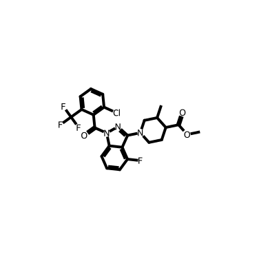 COC(=O)C1CCN(c2nn(C(=O)c3c(Cl)cccc3C(F)(F)F)c3cccc(F)c23)CC1C